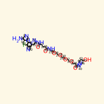 Cc1c(N)cncc1-c1cc(/C=C(\N)NC(=O)CCCC(=O)NCCOCCOCCOCCOCCC(=O)N(C)N2CC[C@@H](O)C2)c2c(c1F)N=C2